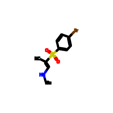 CC(C)(C)N/C=C(\C#N)S(=O)(=O)c1ccc(Br)cc1